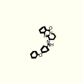 O=c1c2ccccc2nc2n1CCC/C2=N\Nc1ccc(Oc2ccccc2)cc1